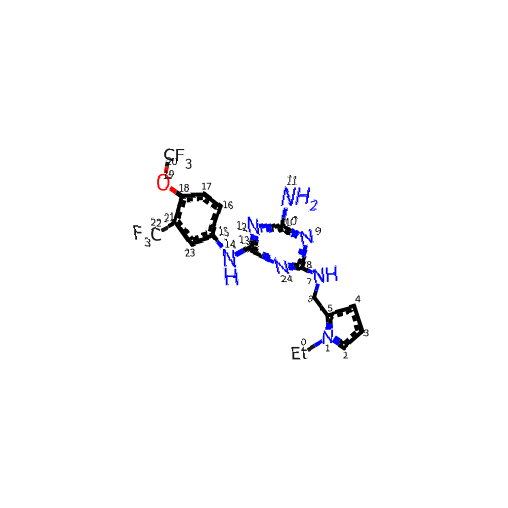 CCn1cccc1CNc1nc(N)nc(Nc2ccc(OC(F)(F)F)c(C(F)(F)F)c2)n1